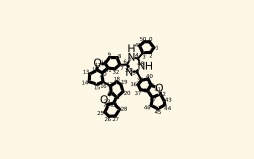 c1ccc(C2NC(c3ccc4oc5cccc(-c6cccc7c6oc6ccccc67)c5c4c3)=NC(c3ccc4c(c3)oc3ccccc34)N2)cc1